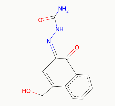 NC(=O)NN=C1C=C(CO)c2ccccc2C1=O